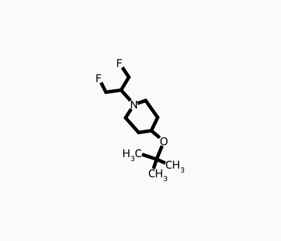 CC(C)(C)OC1CCN(C(CF)CF)CC1